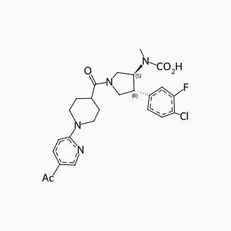 CC(=O)c1ccc(N2CCC(C(=O)N3C[C@@H](N(C)C(=O)O)[C@H](c4ccc(Cl)c(F)c4)C3)CC2)nc1